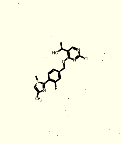 CC(O)c1cnc(Cl)nc1OCc1ccc(-c2nc(C(F)(F)F)cn2C)c(F)c1